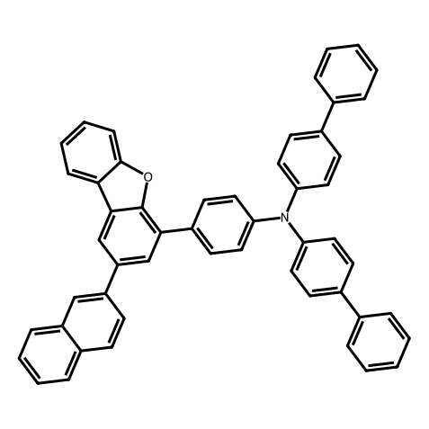 c1ccc(-c2ccc(N(c3ccc(-c4ccccc4)cc3)c3ccc(-c4cc(-c5ccc6ccccc6c5)cc5c4oc4ccccc45)cc3)cc2)cc1